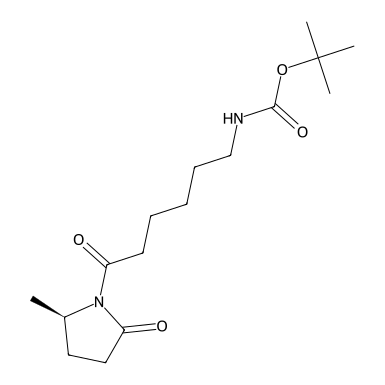 C[C@@H]1CCC(=O)N1C(=O)CCCCCNC(=O)OC(C)(C)C